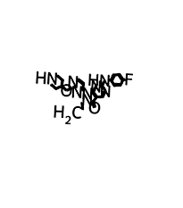 C=CCn1c(=O)c2cnc(Nc3ccc(F)cc3)nc2n1-c1ccnc(OC2CCNCC2)n1